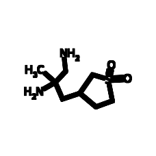 CC(N)(CN)CC1CCS(=O)(=O)C1